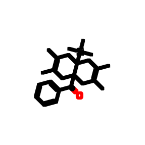 CC1=C(C)CC2([Si](C)(C)C)CC(C)=C(C)CC2(C(=O)c2ccccc2)C1